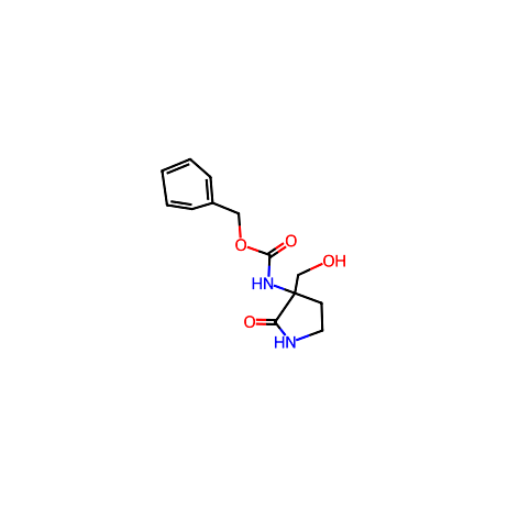 O=C(NC1(CO)CCNC1=O)OCc1ccccc1